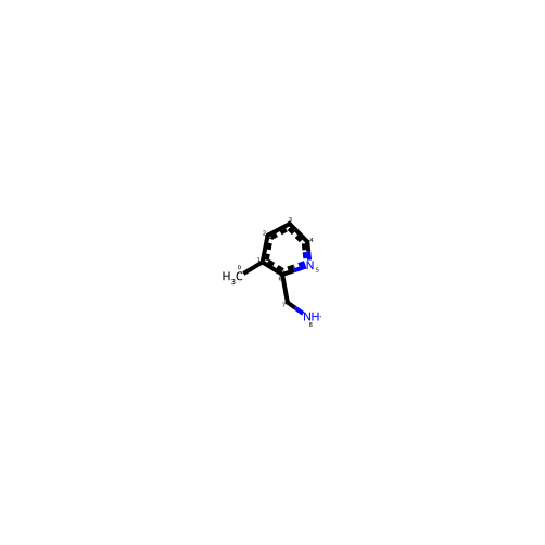 Cc1cccnc1C[NH]